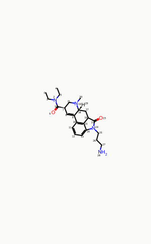 CCN(CC)C(=O)[C@@H]1C=C2c3cccc4c3C(C[C@H]2N(C)C1)C(=O)N4CCCN